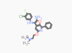 CN(C)CCOc1cc2c(Nc3ccc(F)c(Cl)c3)c(N)oc2c(-c2ccccc2)n1